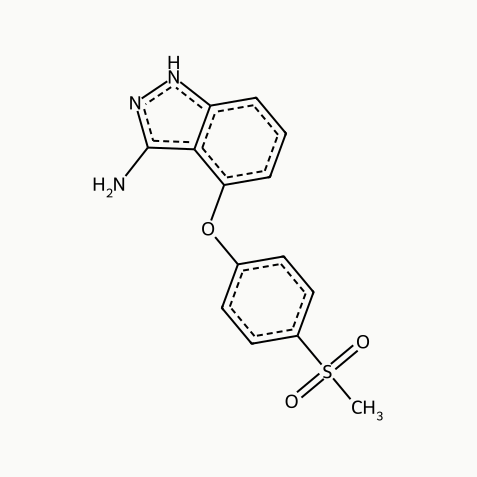 CS(=O)(=O)c1ccc(Oc2cccc3[nH]nc(N)c23)cc1